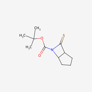 CC(C)(C)OC(=O)N1C(=S)C2CCCC21